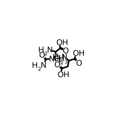 CC(N)C(=O)O.NC(CC(=O)O)C(=O)O.NC(N)=O